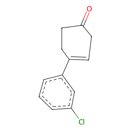 O=C1CC=C(c2cccc(Cl)c2)CC1